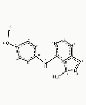 Cn1ncc2ncnc(Nc3ccc(OC(F)(F)F)cc3)c21